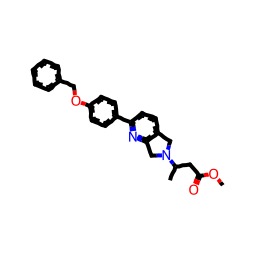 COC(=O)CC(C)N1Cc2ccc(-c3ccc(OCc4ccccc4)cc3)nc2C1